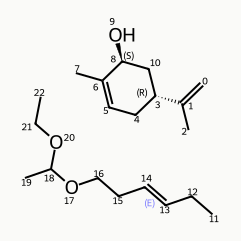 C=C(C)[C@@H]1CC=C(C)[C@@H](O)C1.CC/C=C/CCOC(C)OCC